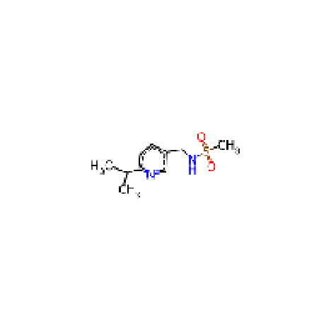 CC(C)c1ccc(CNS(C)(=O)=O)cn1